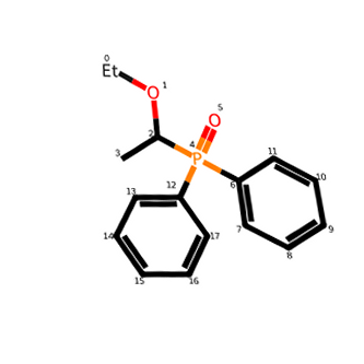 CCOC(C)P(=O)(c1ccccc1)c1ccccc1